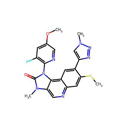 COc1cnc(-n2c(=O)n(C)c3cnc4cc(SC)c(-c5cn(C)nn5)cc4c32)c(F)c1